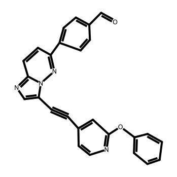 O=Cc1ccc(-c2ccc3ncc(C#Cc4ccnc(Oc5ccccc5)c4)n3n2)cc1